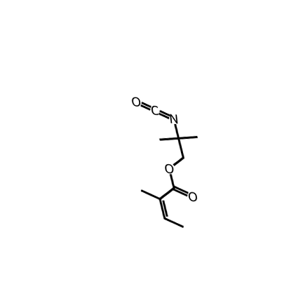 CC=C(C)C(=O)OCC(C)(C)N=C=O